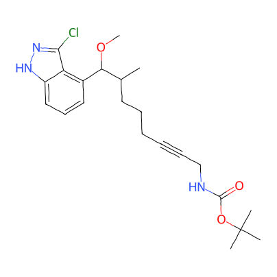 COC(c1cccc2[nH]nc(Cl)c12)C(C)CCCC#CCNC(=O)OC(C)(C)C